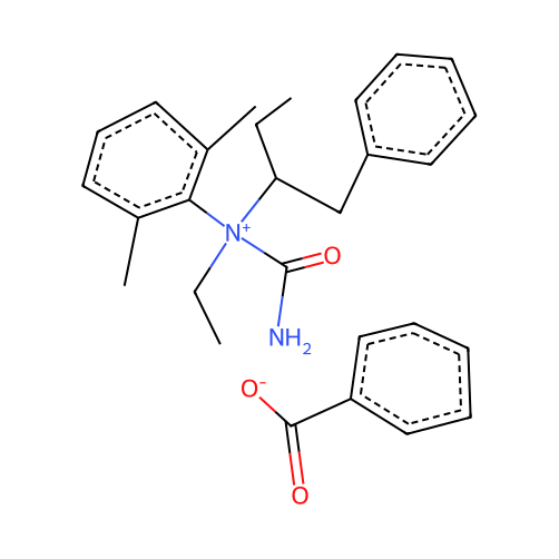 CCC(Cc1ccccc1)[N+](CC)(C(N)=O)c1c(C)cccc1C.O=C([O-])c1ccccc1